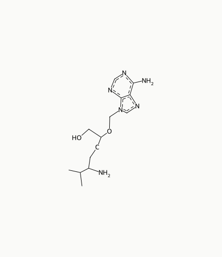 CC(C)C(N)CCC(CO)OCn1cnc2c(N)ncnc21